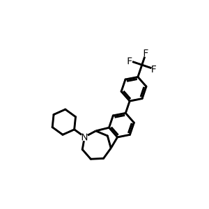 FC(F)(F)c1ccc(-c2ccc3c(c2)C2CC3CCCN2C2CCCCC2)cc1